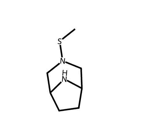 CSN1CC2CCC(C1)N2